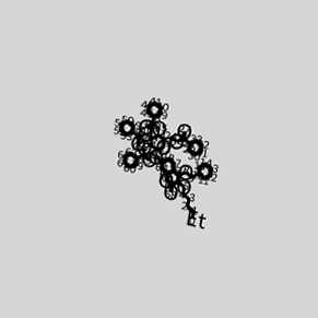 CC/C=C/CCOc1c(OCc2ccccc2)c2ccc(O[C@@H]3O[C@H](COC(=O)c4ccccc4)[C@H](OC(=O)c4ccccc4)[C@H](OC(=O)c4ccccc4)[C@H]3OC(=O)c3ccccc3)cc2oc1=O